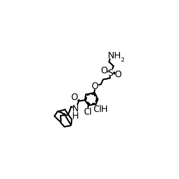 Cl.NCCS(=O)(=O)CCCOc1ccc(Cl)c(C(=O)NCC23CC4CC(CC(C4)C2)C3)c1